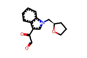 O=CC(=O)c1cn(C[C@H]2CCCO2)c2ccccc12